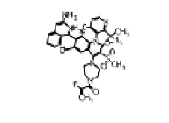 C=C(F)C(=O)N1CCN(c2c(S(C)(=O)=O)c(=O)n(-c3c(C)ccnc3C(C)C)c3c(F)c(-c4nc(N)cc5ccccc45)c(Cl)cc23)CC1